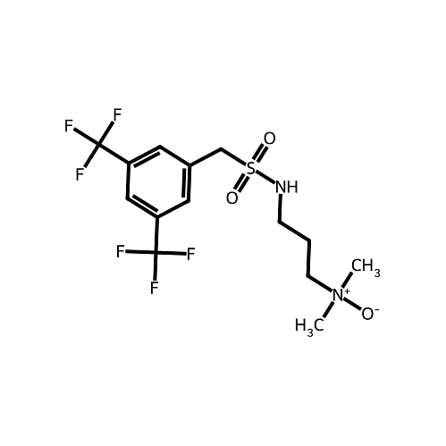 C[N+](C)([O-])CCCNS(=O)(=O)Cc1cc(C(F)(F)F)cc(C(F)(F)F)c1